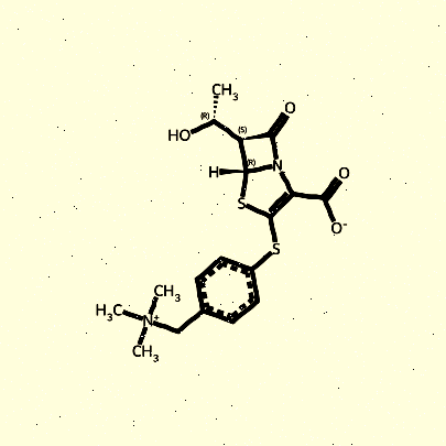 C[C@@H](O)[C@H]1C(=O)N2C(C(=O)[O-])=C(Sc3ccc(C[N+](C)(C)C)cc3)S[C@H]12